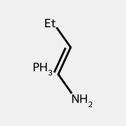 CCC=CN.P